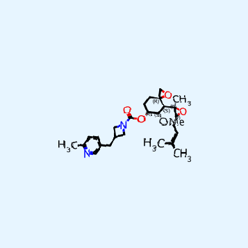 CO[C@@H]1[C@H](OC(=O)N2CC(Cc3ccc(C)nc3)C2)CC[C@]2(CO2)[C@H]1[C@@]1(C)O[C@@H]1CC=C(C)C